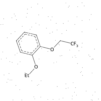 CCOc1ccccc1OCC(F)(F)F